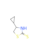 S=C1NC(C2CC2)CS1